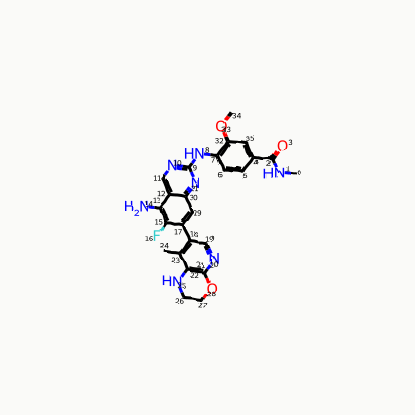 CNC(=O)c1ccc(Nc2ncc3c(N)c(F)c(-c4cnc5c(c4C)NCCO5)cc3n2)c(OC)c1